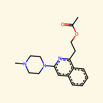 CC(=O)OCCc1nc(N2CCN(C)CC2)cc2ccccc12